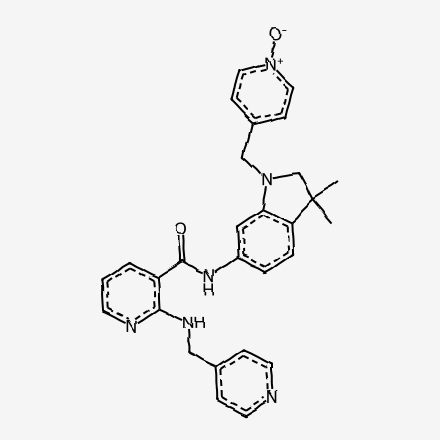 CC1(C)CN(Cc2cc[n+]([O-])cc2)c2cc(NC(=O)c3cccnc3NCc3ccncc3)ccc21